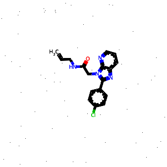 C=CCNC(=O)Cn1c(-c2ccc(Cl)cc2)nc2cccnc21